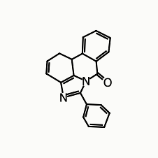 O=C1c2ccccc2C2CC=Cc3nc(-c4ccccc4)n1c32